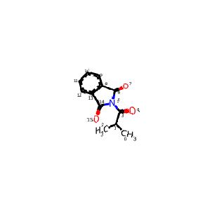 CC(C)C(=O)N1C(=O)c2ccccc2C1=O